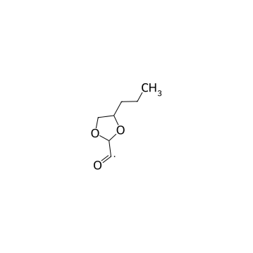 CCCC1COC([C]=O)O1